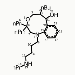 CCCCC1COC(CCC)(CCC)CN(CCCCNCCC)c2ccccc2C1O